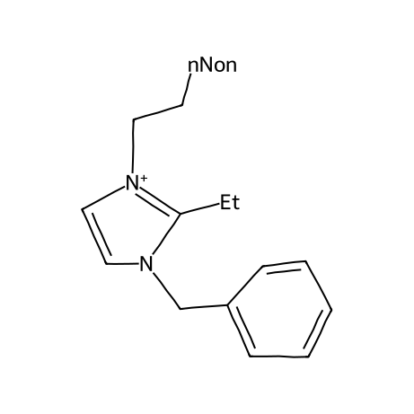 CCCCCCCCCCC[n+]1ccn(Cc2ccccc2)c1CC